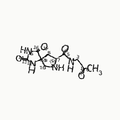 CC(=O)CNC(=O)[C@@H]1C[C@@]2(CN1)NC(=O)NC2=O